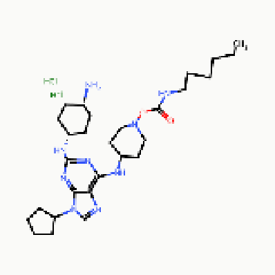 CCCCCCNC(=O)ON1CCC(Nc2nc(N[C@H]3CC[C@H](N)CC3)nc3c2ncn3C2CCCC2)CC1.Cl.Cl